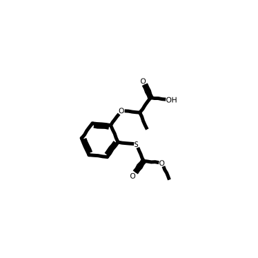 COC(=O)Sc1ccccc1OC(C)C(=O)O